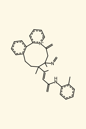 C=NC1(C)CC(=C)[n+]2ccccc2-c2ccccc2CCC1(C)/C(C)=C/C(=C)Nc1ccccc1C